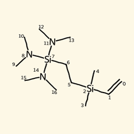 C=C[Si](C)(C)CC[Si](N(C)C)(N(C)C)N(C)C